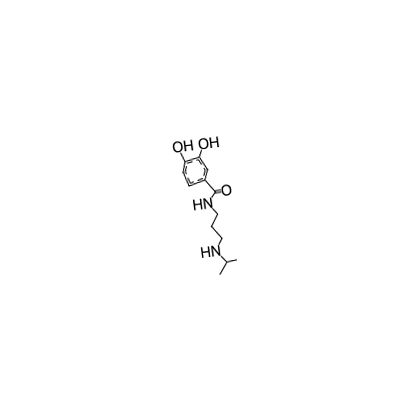 CC(C)NCCCNC(=O)c1ccc(O)c(O)c1